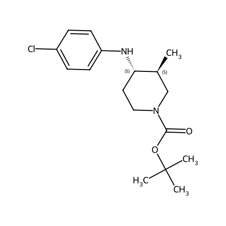 C[C@H]1CN(C(=O)OC(C)(C)C)CC[C@@H]1Nc1ccc(Cl)cc1